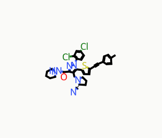 Cc1ccc(C#Cc2ccc(-c3c(CN4CCC[C@@H]4C#N)c(C(=O)NN4CCCCC4)nn3-c3ccc(Cl)cc3Cl)s2)cc1